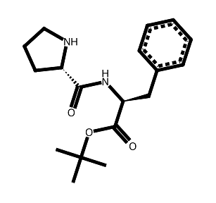 CC(C)(C)OC(=O)[C@H](Cc1ccccc1)NC(=O)[C@@H]1CCCN1